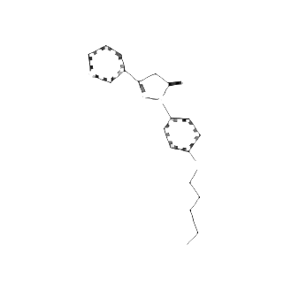 CCCCCOc1ccc(N2N=C(c3cccnc3)CC2=O)cc1